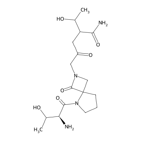 CC(O)C(CC(=O)CN1CC2(CCCN2C(=O)[C@@H](N)C(C)O)C1=O)C(N)=O